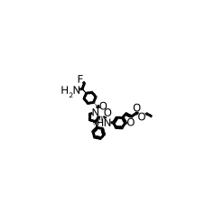 CCOC(=O)c1cc2cc(NC(=O)[C@@H]3[C@@H](c4ccccc4)CCN3C(=O)[C@H]3CC[C@H](C(N)CF)CC3)ccc2o1